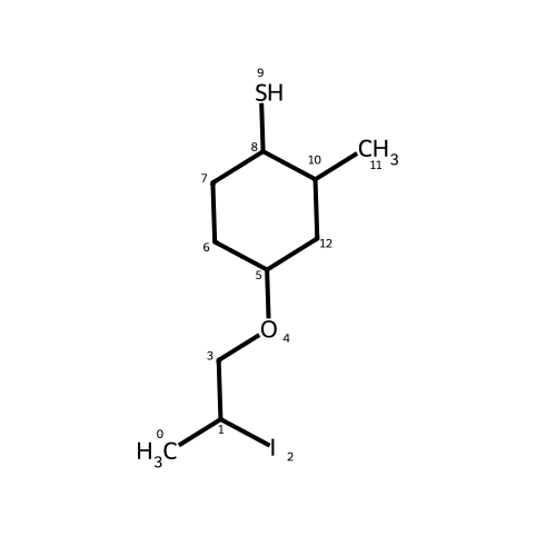 CC(I)COC1CCC(S)C(C)C1